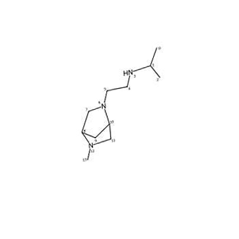 CC(C)NCCN1CC2CC1CN2C